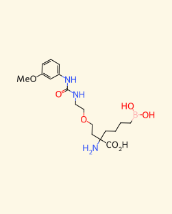 COc1cccc(NC(=O)NCCOCCC(N)(CCCCB(O)O)C(=O)O)c1